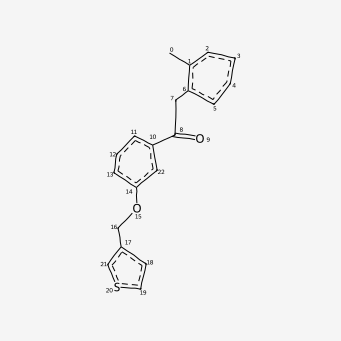 Cc1ccccc1CC(=O)c1cccc(OCc2ccsc2)c1